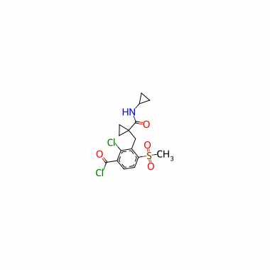 CS(=O)(=O)c1ccc(C(=O)Cl)c(Cl)c1CC1(C(=O)NC2CC2)CC1